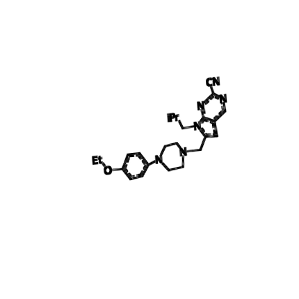 CCOc1ccc(N2CCN(Cc3cc4cnc(C#N)nc4n3CC(C)C)CC2)cc1